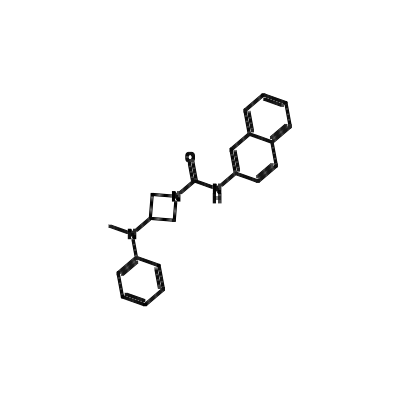 CN(c1ccccc1)C1CN(C(=O)Nc2ccc3ccccc3c2)C1